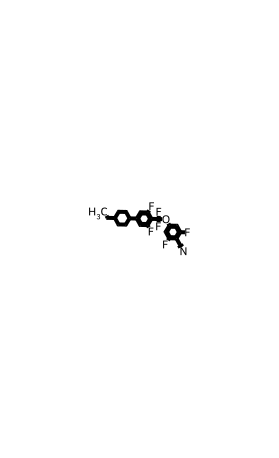 CCC1CCC(c2cc(F)c(C(F)(F)Oc3cc(F)c(C#N)c(F)c3)c(F)c2)CC1